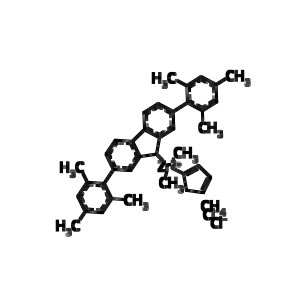 C.Cc1cc(C)c(-c2ccc3c(c2)[CH]([Zr+2]([CH3])([CH3])[C]2=CC=CC2)c2cc(-c4c(C)cc(C)cc4C)ccc2-3)c(C)c1.[Cl-].[Cl-]